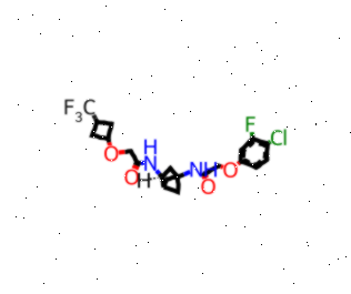 O=C(COC1CC(C(F)(F)F)C1)N[C@H]1CC2(NC(=O)COc3ccc(Cl)c(F)c3)CC1C2